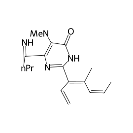 C=C/C(=C(C)\C=C/C)c1nc(C(=N)CCC)c(NC)c(=O)[nH]1